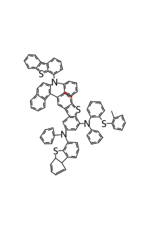 Cc1ccccc1Sc1ccccc1N(c1ccccc1)c1cc(N(c2ccccc2)c2cccc3c2SC2C=CC=CC32)cc2c1sc1ccc(-c3c(N(c4ccccc4)c4cccc5c4sc4ccccc45)ccc4ccccc34)cc12